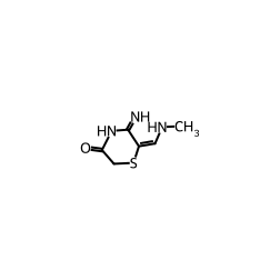 CN/C=C1/SCC(=O)NC1=N